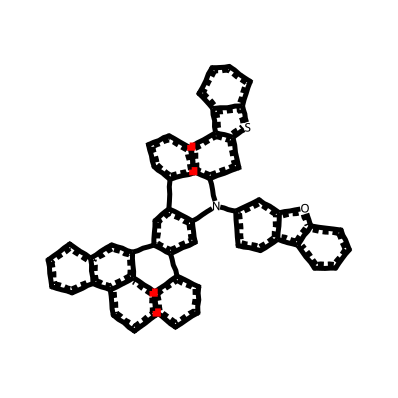 c1ccc(-c2cc(N(c3ccc4c(c3)oc3ccccc34)c3ccc4c(c3)sc3ccccc34)c(-c3ccccc3)cc2-c2cc3ccccc3c3ccccc23)cc1